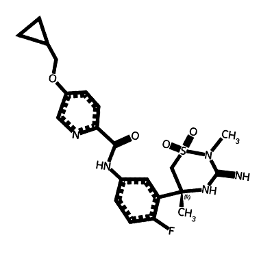 CN1C(=N)N[C@](C)(c2cc(NC(=O)c3ccc(OCC4CC4)cn3)ccc2F)CS1(=O)=O